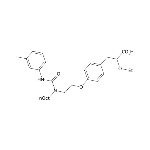 CCCCCCCCN(CCOc1ccc(CC(OCC)C(=O)O)cc1)C(=O)Nc1cccc(C)c1